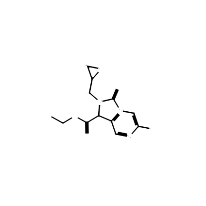 CCOC(=O)C1c2cnc(Cl)c[n+]2C(=O)N1CC1CO1